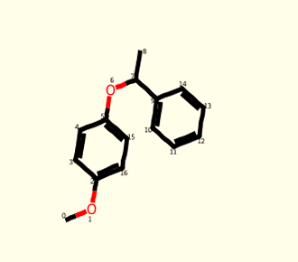 COc1ccc(OC(C)c2ccccc2)cc1